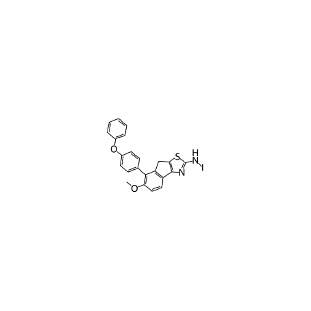 COc1ccc2c(c1-c1ccc(Oc3ccccc3)cc1)Cc1sc(NI)nc1-2